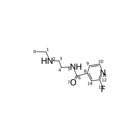 CCNCCNC(=O)c1ccnc(F)c1